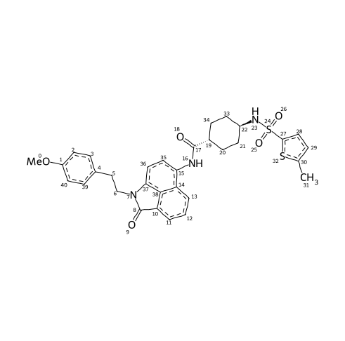 COc1ccc(CCN2C(=O)c3cccc4c(NC(=O)[C@H]5CC[C@H](NS(=O)(=O)c6ccc(C)s6)CC5)ccc2c34)cc1